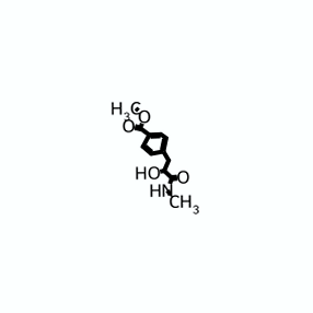 CNC(=O)C(O)Cc1ccc(C(=O)OC)cc1